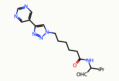 CC(C)C(C=O)NC(=O)CCCCCn1cc(-c2cncnc2)nn1